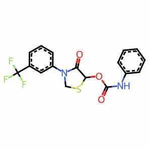 O=C(Nc1ccccc1)OC1SCN(c2cccc(C(F)(F)F)c2)C1=O